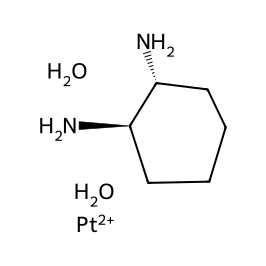 N[C@@H]1CCCC[C@H]1N.O.O.[Pt+2]